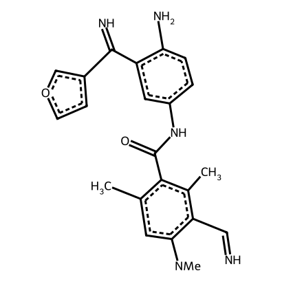 CNc1cc(C)c(C(=O)Nc2ccc(N)c(C(=N)c3ccoc3)c2)c(C)c1C=N